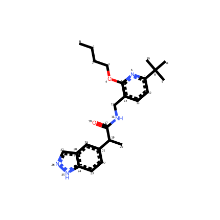 CCCCOc1nc(C(C)(C)C)ccc1CNC(=O)C(C)c1ccc2[nH]ncc2c1